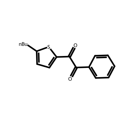 CCCCc1ccc(C(=O)C(=O)c2ccccc2)s1